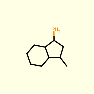 CC1CC(P)C2CCCCC12